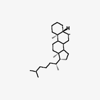 CC(C)CCC[C@@H](C)[C@H]1CCC2C3C[CH][C@H]4CCCC[C@]4(C)C3CC[C@@]21C